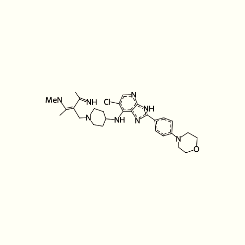 CN/C(C)=C(/CN1CCC(Nc2c(Cl)cnc3[nH]c(-c4ccc(N5CCOCC5)cc4)nc23)CC1)C(C)=N